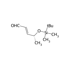 C[C@H](/C=C/C=O)O[Si](C)(C)C(C)(C)C